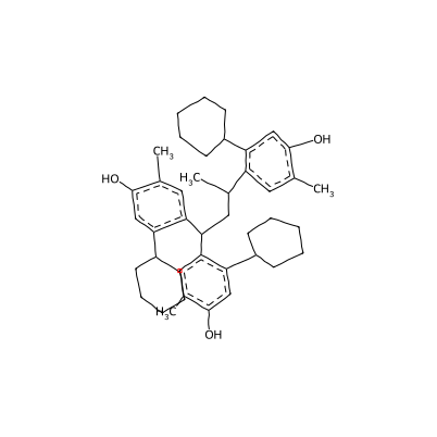 Cc1cc(C(C)CC(c2cc(C)c(O)cc2C2CCCCC2)c2cc(C)c(O)cc2C2CCCCC2)c(C2CCCCC2)cc1O